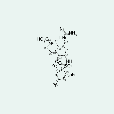 CC(C)c1cc(C(C)C)c(S(=O)(=O)NC(CCCNC(=N)N)C(=O)N2CCN(C(=O)O)CC2)c(C(C)C)c1